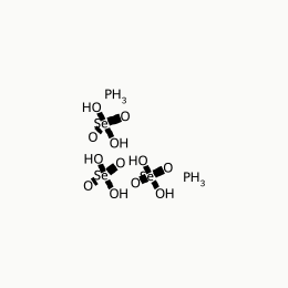 O=[Se](=O)(O)O.O=[Se](=O)(O)O.O=[Se](=O)(O)O.P.P